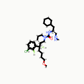 CNC[C@H](CC1CCCCC1)NC(=O)N1CCC[C@@H]([C@@](F)(CCCCOC)c2cccc(Cl)c2F)C1